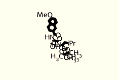 COc1ccc2c(c1)CCC(C(=O)N[C@@H](CO)C(=O)NC(CC(C)C)B1OC(C)(C)C(C)(C)O1)C2